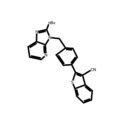 CCCCc1nc2cccnc2n1Cc1ccc(-c2sc3ccccc3c2C#N)cc1